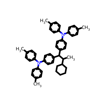 Cc1ccc(N(c2ccc(C)cc2)c2ccc(C(c3ccc(N(c4ccc(C)cc4)c4ccc(C)cc4)cc3)C(C)C3CCCCC3)cc2)cc1